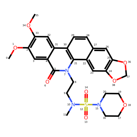 COc1cc2c(=O)n(CCN(C)S(=O)(=O)N3CCOCC3)c3c4cc5c(cc4ccc3c2cc1OC)OCO5